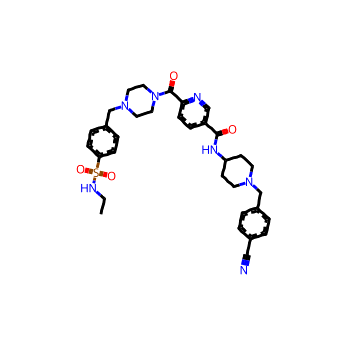 CCNS(=O)(=O)c1ccc(CN2CCN(C(=O)c3ccc(C(=O)NC4CCN(Cc5ccc(C#N)cc5)CC4)cn3)CC2)cc1